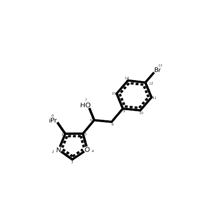 CC(C)c1ncoc1C(O)Cc1ccc(Br)cc1